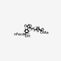 CCCCCC(O)c1ccc(N2C(=O)COC2CCCc2ccc(C(=O)OC)s2)cc1